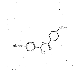 CCCCCCCCCc1ccc(C(CC)OC(=O)C2CCC(CCCCCCCC)CC2)cc1